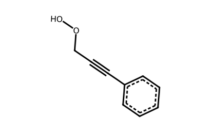 OOCC#Cc1ccccc1